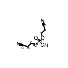 N#CCCOP(=O)(O)OCCC#N